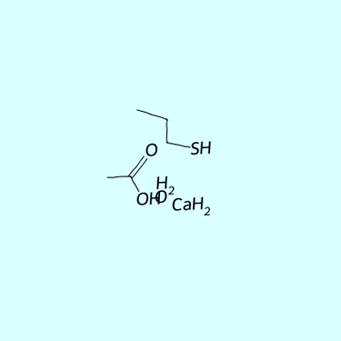 CC(=O)O.CCCS.O.[CaH2]